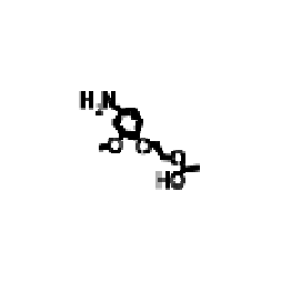 COc1cc(N)ccc1OCCOC(C)O